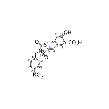 O=C(O)c1cc(/C=C2\SC(=O)N(Cc3ccc([N+](=O)[O-])cc3)C2=O)ccc1O